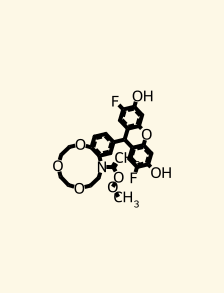 C=C(OOC)N1CCOCCOCCOc2ccc(C3c4cc(F)c(O)cc4Oc4cc(O)c(F)cc43)cc21